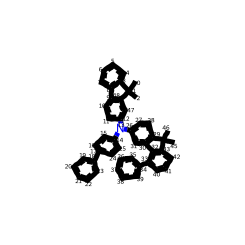 CC1(C)c2ccccc2-c2ccc(N(c3ccc(-c4ccccc4)cc3)c3ccc4c(c3)-c3c(-c5ccccc5)cccc3C4(C)C)cc21